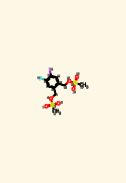 CS(=O)(=O)OCc1cc(F)c(I)cc1COS(C)(=O)=O